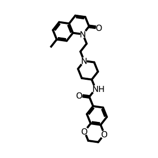 Cc1ccc2ccc(=O)n(CCN3CCC(NC(=O)c4ccc5c(c4)OCCO5)CC3)c2c1